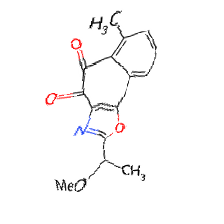 COC(C)c1nc2c(o1)-c1cccc(C)c1C(=O)C2=O